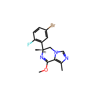 COC1=N[C@](C)(c2cc(Br)ccc2F)Cn2cnc(C)c21